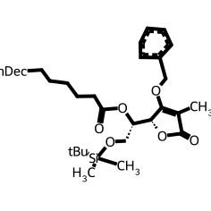 CCCCCCCCCCCCCCCC(=O)O[C@@H](CO[Si](C)(C)C(C)(C)C)[C@H]1OC(=O)C(C)=C1OCc1ccccc1